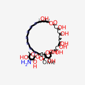 COC(=O)[C@H]1[C@@H]2C[C@@H](O[C@@H]3O[C@H](C)[C@@H](O)[C@H](N)[C@H]3O)/C=C/C=C/C=C/C=C/C=C/C=C/C=C/[C@H](C)[C@@H](O)[C@@H](C)[C@H](C)OC(=O)C[C@H](O)C[C@H](O)CCC(O)[C@H](O)C[C@H](O)C[C@](O)(C[C@@H]1O)O2